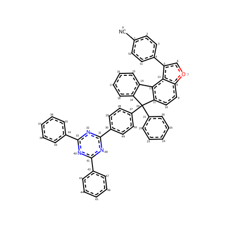 N#Cc1ccc(-c2coc3ccc4c(c23)-c2ccccc2C4(c2ccccc2)c2ccc(-c3nc(-c4ccccc4)nc(-c4ccccc4)n3)cc2)cc1